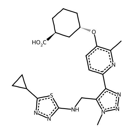 Cc1nc(-c2nnn(C)c2CNc2nnc(C3CC3)s2)ccc1O[C@H]1CCC[C@H](C(=O)O)C1